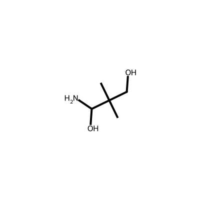 CC(C)(CO)C(N)O